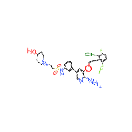 Nc1ncc(-c2cccc(NS(=O)(=O)CCN3CCC(O)CC3)c2)cc1OCc1c(F)ccc(F)c1Cl